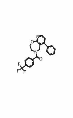 O=C(c1ccc(C(F)(F)F)cc1)N1CCOc2nccc(-c3ccccc3)c2C1